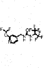 O=C(NCc1ccnc(OC(F)F)c1)NC(C(F)(F)F)C(F)(F)F